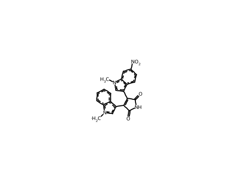 [CH2]n1cc(C2=C(c3cn(C)c4cc([N+](=O)[O-])ccc34)C(=O)NC2=O)c2ccccc21